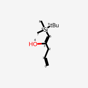 C=CCC(O)=C[Si](C)(C)C(C)(C)C